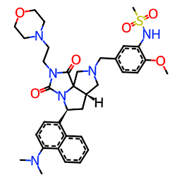 COc1ccc(CN2C[C@@H]3C[C@@H](c4ccc(N(C)C)c5ccccc45)N4C(=O)N(CCN5CCOCC5)C(=O)C34C2)cc1NS(C)(=O)=O